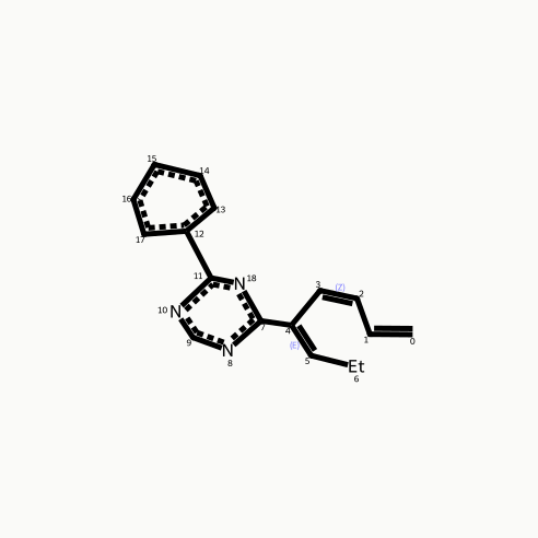 C=C/C=C\C(=C/CC)c1ncnc(-c2ccccc2)n1